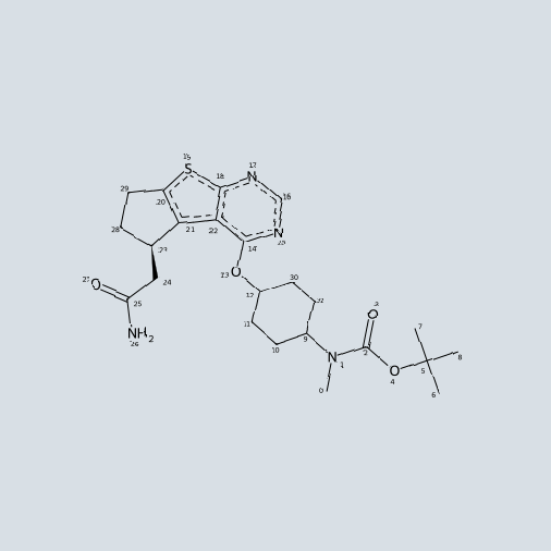 CN(C(=O)OC(C)(C)C)C1CCC(Oc2ncnc3sc4c(c23)[C@@H](CC(N)=O)CC4)CC1